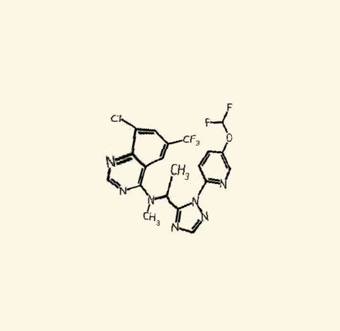 CC(c1ncnn1-c1ccc(OC(F)F)cn1)N(C)c1ncnc2c(Cl)cc(C(F)(F)F)cc12